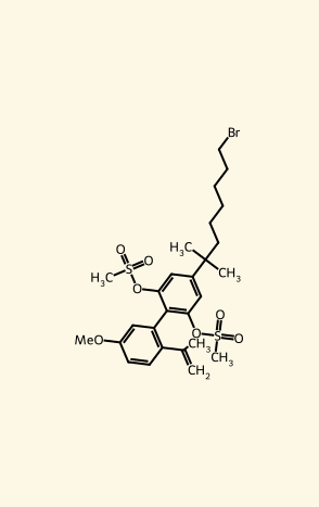 C=C(C)c1ccc(OC)cc1-c1c(OS(C)(=O)=O)cc(C(C)(C)CCCCCCBr)cc1OS(C)(=O)=O